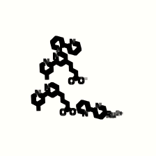 Cc1ccnc(-c2cc(CCCC(=O)[O-])ccn2)c1.Cc1ccnc(-c2cc(CCCC(=O)[O-])ccn2)c1.[Ru+2].c1ccc(-c2ccccn2)nc1.c1ccc(-c2ccccn2)nc1